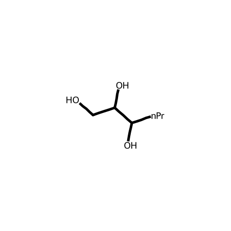 C[CH]CC(O)C(O)CO